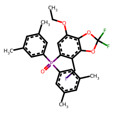 CCOc1cc(P(=O)(c2cc(C)cc(C)c2)c2cc(C)cc(C)c2)c(CI)c2c1OC(F)(F)O2